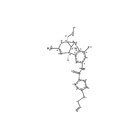 C=CCOc1cnc(C(=O)Nc2cc(F)c(F)c([C@@]3(C)N=C(N)S[C@@]4(COC)C[C@H]43)c2)cn1